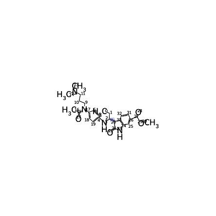 CC/C(Nc1ccc(N(CCCN(C)C)C(C)=O)cc1)=C1/C(=O)Nc2cc(C(=O)OC)ccc21